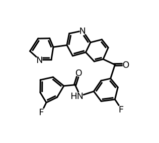 O=C(Nc1cc(F)cc(C(=O)c2ccc3ncc(-c4cccnc4)cc3c2)c1)c1cccc(F)c1